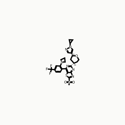 CS(=O)(=O)c1nc2nc([C@H]3CCO[C@H](c4cnn(C5CC5)c4)C3)nc(-c3ccc(C(F)(F)F)cc3N3CCC3)c2s1